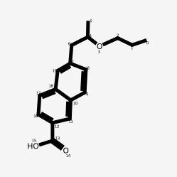 CCCOC(C)Cc1ccc2cc(C(=O)O)ccc2c1